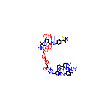 Cc1ccc(NC(=O)c2ccc(CN3CCN(C(=O)CCOCCOCCC(=O)NC(C(=O)N4C[C@H](O)C[C@H]4C(=O)NCc4ccc(-c5scnc5C)cc4)C(C)(C)C)CC3)cc2)cc1Nc1nccc(-c2cccnc2)n1